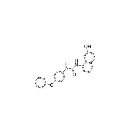 O=C(Nc1ccc(Oc2ccccc2)cc1)Nc1cccc2ccc(O)cc12